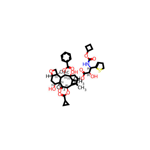 CC(=O)O[C@@]12CO[C@@H]1C[C@H](O)[C@@]1(C)C(=O)[C@H](OC(=O)C3CC3)C3=C(C)[C@@H](OC(=O)[C@H](O)[C@@H](NC(=O)OC4CCC4)C4=CCCS4)C[C@@](O)([C@@H](OC(=O)c4ccccc4)C12)C3(C)C